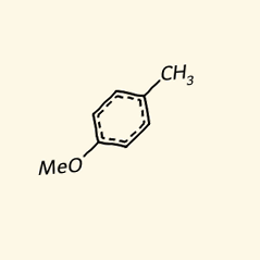 Cc1ccc(O[11CH3])cc1